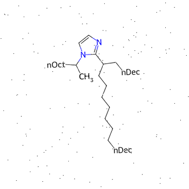 CCCCCCCCCCCCCCCCCC(CCCCCCCCCCC)c1nccn1C(C)CCCCCCCC